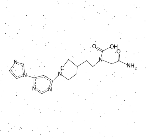 NC(=O)CN(CCC1CCN(c2cc(-n3ccnc3)ncn2)CC1)C(=O)O